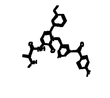 CCc1cccc(-c2ccc(NC(=O)C(C)NC)c(=O)n2Cc2cncc(C(=O)c3ccc(F)cc3)c2)c1